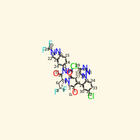 COc1cn(C(CC(F)F)C(=O)Nc2ccc3nn(C(F)F)cc3c2)c(=O)cc1-c1cc(Cl)ccc1-n1cc(Cl)nn1